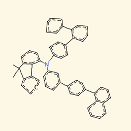 CC1(C)c2ccccc2-c2c(N(c3ccc(-c4ccccc4-c4ccccc4)cc3)c3cccc(-c4ccc(-c5cccc6ccccc56)cc4)c3)cccc21